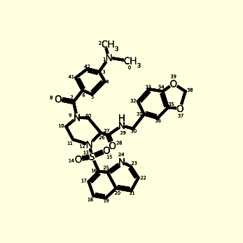 CN(C)c1ccc(C(=O)N2CCN(S(=O)(=O)c3cccc4cccnc34)C(C(=O)NCc3ccc4c(c3)OCO4)C2)cc1